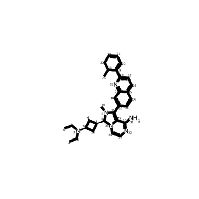 CCN(CC)[C@H]1C[C@@H](C2N(C)C(c3ccc4ccc(C5=CC=CCC5C)nc4c3)=C3C(N)=NC=CN32)C1